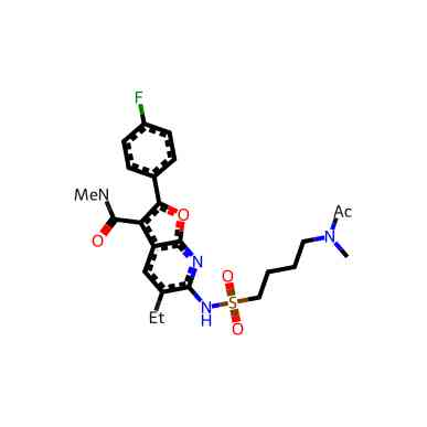 CCc1cc2c(C(=O)NC)c(-c3ccc(F)cc3)oc2nc1NS(=O)(=O)CCCCN(C)C(C)=O